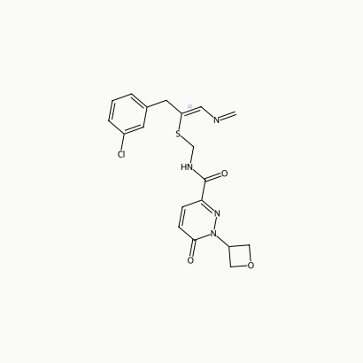 C=N/C=C(/Cc1cccc(Cl)c1)SCNC(=O)c1ccc(=O)n(C2COC2)n1